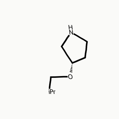 CC(C)CO[C@H]1CCNC1